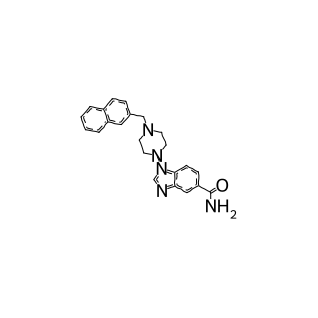 NC(=O)c1ccc2c(c1)ncn2N1CCN(Cc2ccc3ccccc3c2)CC1